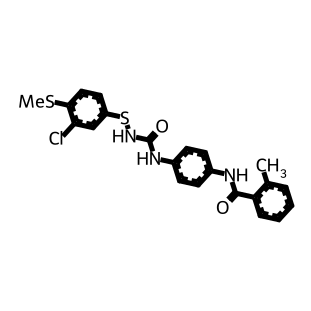 CSc1ccc(SNC(=O)Nc2ccc(NC(=O)c3ccccc3C)cc2)cc1Cl